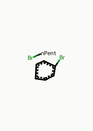 Brc1ccccc1.CCCCCBr